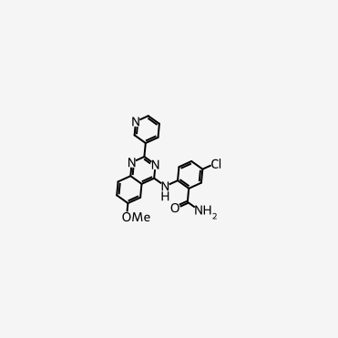 COc1ccc2nc(-c3cccnc3)nc(Nc3ccc(Cl)cc3C(N)=O)c2c1